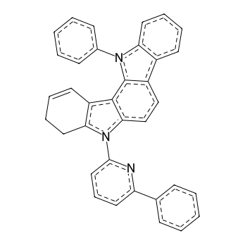 C1=Cc2c(n(-c3cccc(-c4ccccc4)n3)c3ccc4c5ccccc5n(-c5ccccc5)c4c23)CC1